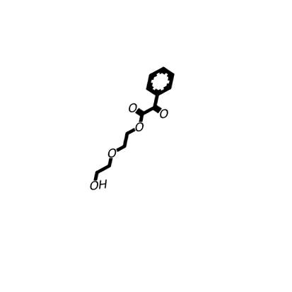 O=C(OCCOCCO)C(=O)c1ccccc1